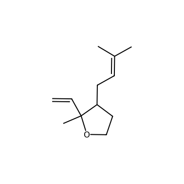 C=CC1(C)OCCC1CC=C(C)C